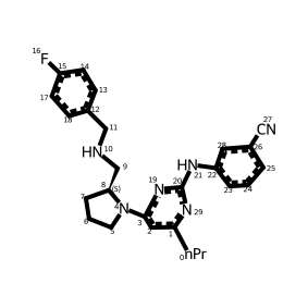 CCCc1cc(N2CCC[C@H]2CNCc2ccc(F)cc2)nc(Nc2cccc(C#N)c2)n1